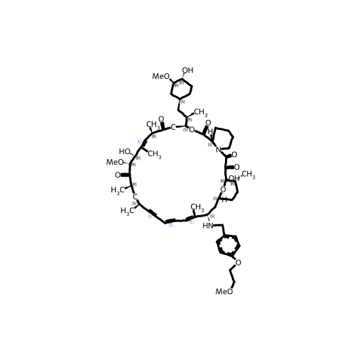 COCCOc1ccc(CN[C@H]2C[C@@H]3CC[C@@H](C)[C@@](O)(O3)C(=O)C(=O)N3CCCC[C@H]3C(=O)O[C@H]([C@H](C)C[C@@H]3CC[C@@H](O)[C@H](OC)C3)CC(=O)[C@H](C)/C=C(\C)[C@@H](O)[C@@H](OC)C(=O)[C@H](C)C[C@H](C)/C=C/C=C/C=C/2C)cc1